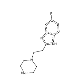 Fc1ccc2[nH]c(CCN3CCNCC3)nc2c1